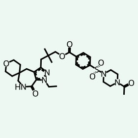 CCn1nc(CC(C)(C)COC(=O)c2ccc(S(=O)(=O)N3CCN(C(C)=O)CC3)cc2)c2c1C(=O)NCC1(CCOCC1)C2